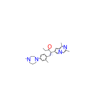 CCC(=O)/C(=C\c1ccc(N2CCCN(C)CC2)cc1C)c1cc2c(C)nc(C)cn2c1